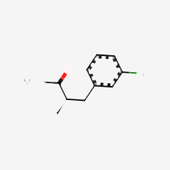 COC(=O)[C@H](C)Cc1cccc(Br)c1